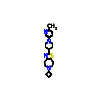 Cc1ccc(N2CCC(c3nc4c(s3)CCN(C3CCC3)CC4)CC2)cn1